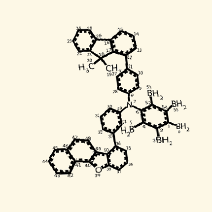 Bc1c(B)c(B)c(N(c2ccc(-c3cccc4c3C(C)(C)c3ccccc3-4)cc2)c2cccc(-c3cccc4oc5c6ccccc6ccc5c34)c2)c(B)c1B